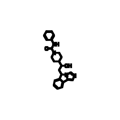 O=C(Nc1ccccc1)N1CCC(C(O)CC2c3ccccc3-c3cncn32)CC1